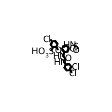 N=S=O.O=C(Nc1ccc(Cl)c(Cl)c1)Nc1cc(Cl)ccc1Oc1ccc(Cl)cc1S(=O)(=O)O